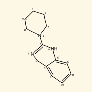 [CH]1CCCN(C2=NCc3ccccc3N2)C1